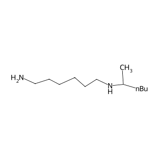 CCCCC(C)NCCCCCCN